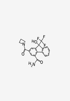 NC(=O)c1cc(C(=O)N2CCC2)cc2c1-c1ccccc1C2(O)C(F)(F)F